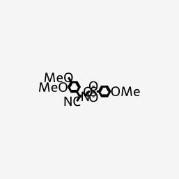 COc1ccc(S(=O)(=O)O/N=C(/C#N)c2ccc(OC)c(OC)c2)cc1